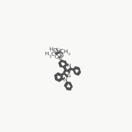 CC1(C)OB(c2ccc3c4c(c(-c5ccccc5)nc3c2)SC2C4c3ccccc3N2c2ccccc2)OC1(C)C